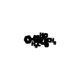 CN1C(=O)C[C@@](C)(c2cc(-c3ccccc3)cs2)NC1=O